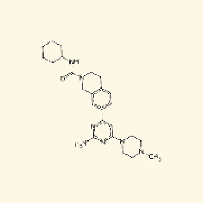 CN1CCN(c2cc(-c3ccc4c(c3)CN(C(=O)NC3CCCCC3)CC4)nc(N)n2)CC1